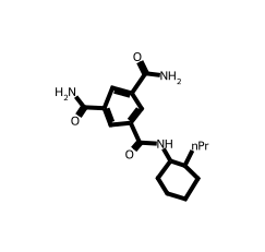 CCCC1CCCCC1NC(=O)c1cc(C(N)=O)cc(C(N)=O)c1